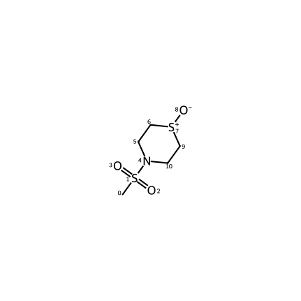 CS(=O)(=O)N1CC[S+]([O-])CC1